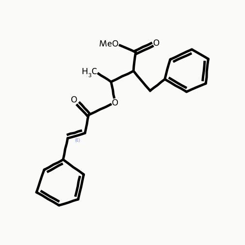 COC(=O)C(Cc1ccccc1)C(C)OC(=O)/C=C/c1ccccc1